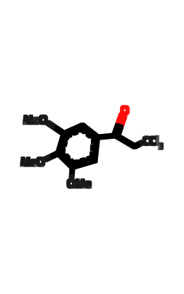 COc1cc(C(=O)CC(Cl)(Cl)Cl)cc(OC)c1OC